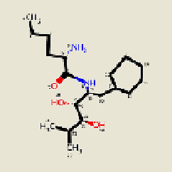 CCCC[C@H](N)C(=O)N[C@@H](CC1CCCCC1)[C@@H](O)[C@@H](O)C(C)C